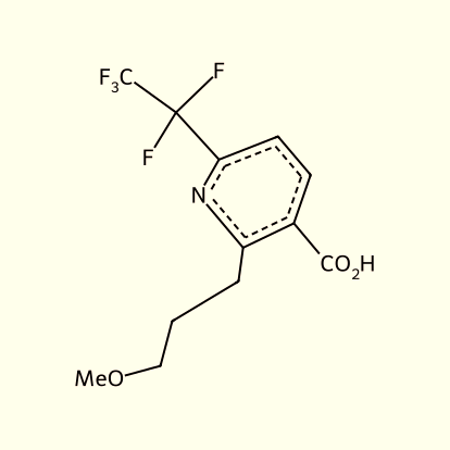 COCCCc1nc(C(F)(F)C(F)(F)F)ccc1C(=O)O